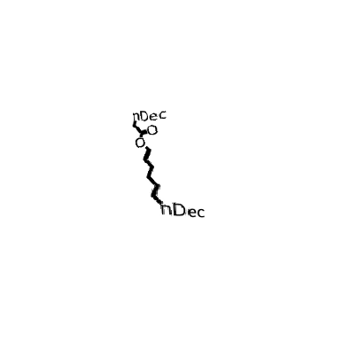 CCCCCCCCCCCCCCC=COC(=O)CCCCCCCCCCC